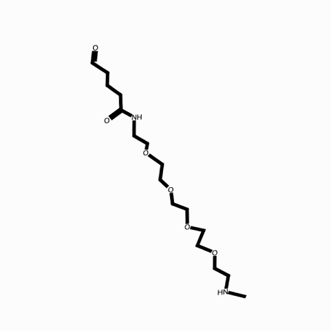 CNCCOCCOCCOCCOCCNC(=O)CCCC=O